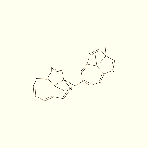 CC12C=NC3=CC=C(CC45C=NC6=CC=CC=C(C=N4)C65C)C=C(N=C1)C32C